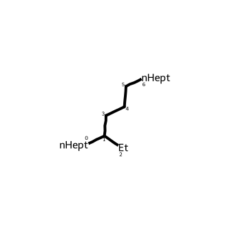 [CH2]CCCCCCC(CC)CCCCCCCCCC